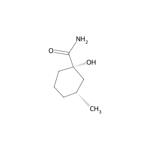 C[C@@H]1CCC[C@@](O)(C(N)=O)C1